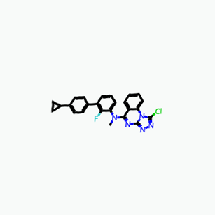 CN(c1cccc(-c2ccc(C3CC3)cc2)c1F)c1nc2nnc(Cl)n2c2ccccc12